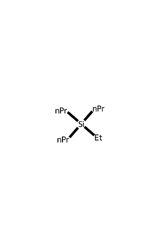 [CH2]C[Si](CCC)(CCC)CCC